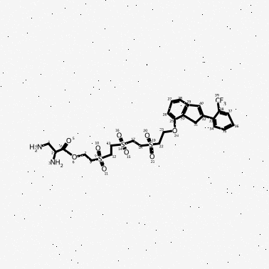 NCC(N)C(=O)OCCS(=O)(=O)CCS(=O)(=O)CCS(=O)(=O)CCOc1cccc2c1CC(c1ccccc1C(F)(F)F)=C2